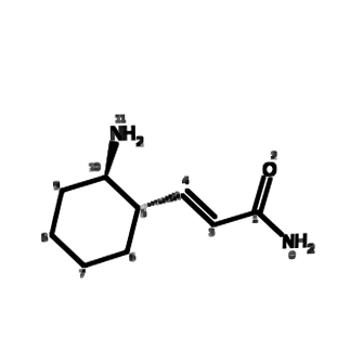 NC(=O)C=C[C@@H]1CCCC[C@H]1N